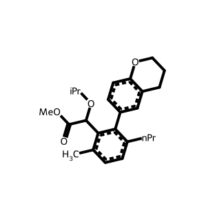 CCCc1ccc(C)c(C(OC(C)C)C(=O)OC)c1-c1ccc2c(c1)CCCO2